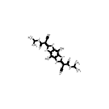 CC(C)OC(=O)C(C#N)=C1Sc2c(O)c3c(c(O)c2S1)SC(=C(C#N)C(=O)OC(C)C)S3